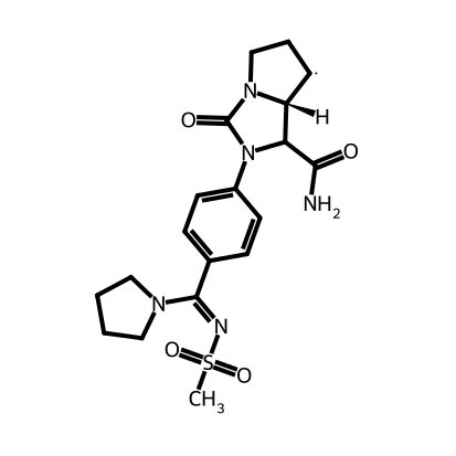 CS(=O)(=O)N=C(c1ccc(N2C(=O)N3CC[CH][C@@H]3C2C(N)=O)cc1)N1CCCC1